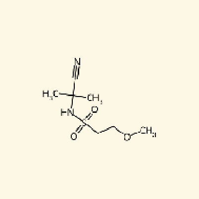 COCCS(=O)(=O)NC(C)(C)C#N